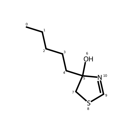 CCCCCC1(O)CSC=N1